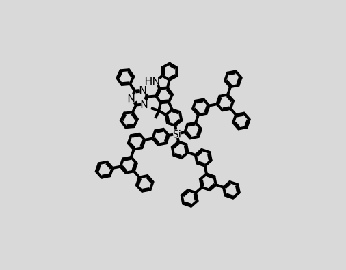 CC1(C)c2cc([Si](c3ccc(-c4cccc(-c5cc(-c6ccccc6)cc(-c6ccccc6)c5)c4)cc3)(c3cccc(-c4cccc(-c5cc(-c6ccccc6)cc(-c6ccccc6)c5)c4)c3)c3cccc(-c4cccc(-c5cc(-c6ccccc6)cc(-c6ccccc6)c5)c4)c3)ccc2-c2cc3c([nH]c4ccccc43)c(-c3nc(-c4ccccc4)nc(-c4ccccc4)n3)c21